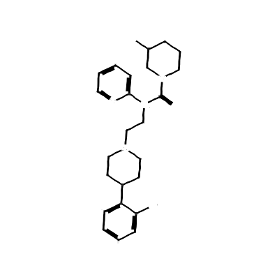 CCC1CCCN(C(=O)N(CCN2CCC(c3ccccc3OC)CC2)c2ccccn2)C1